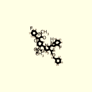 CNC(=O)c1c(-c2ccc(F)cc2)oc2cc(N(C)[S+](C)[O-])c(-c3ccc(C(F)COCc4ccccc4)c(-c4cc5c(F)cccc5[nH]4)n3)cc12